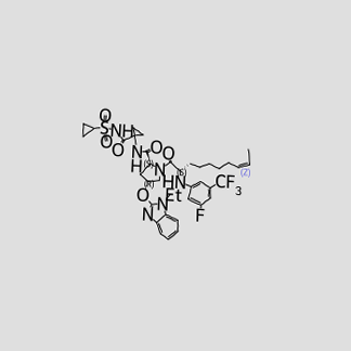 C/C=C\CCCCC[C@H](Nc1cc(F)cc(C(F)(F)F)c1)C(=O)N1C[C@H](Oc2nc3ccccc3n2CC)C[C@H]1C(=O)NC1(C(=O)NS(=O)(=O)C2CC2)CC1